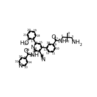 CC(C)(CN)CNC(=O)c1cccc(-c2cc(-c3ccccc3O)nc(NC(=O)c3ccncc3)c2C#N)c1